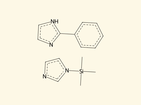 C[Si](C)(C)n1ccnc1.c1ccc(-c2ncc[nH]2)cc1